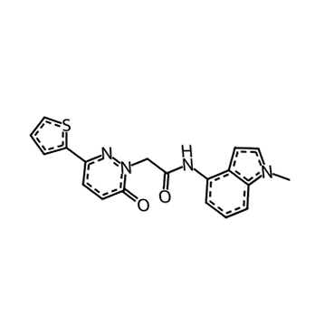 Cn1ccc2c(NC(=O)Cn3nc(-c4cccs4)ccc3=O)cccc21